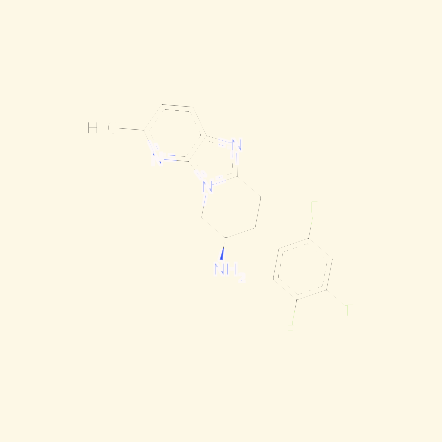 Cc1ccc2nc3n(c2n1)C[C@H](N)[C@@H](c1cc(F)c(F)cc1F)C3